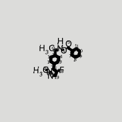 C[C@H](NOC(=O)c1ccccc1)c1ccc(-c2c(F)cnn2C)cc1